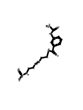 CC(=O)Oc1cccc(C(=O)OCCSSCCO[N+](=O)[O-])c1